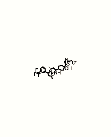 COCc1ncc(C2(O)CCC(C(=N)C[C@@H](C)N3OC(C)CC3c3cccc(C(F)(F)F)c3)CC2)s1